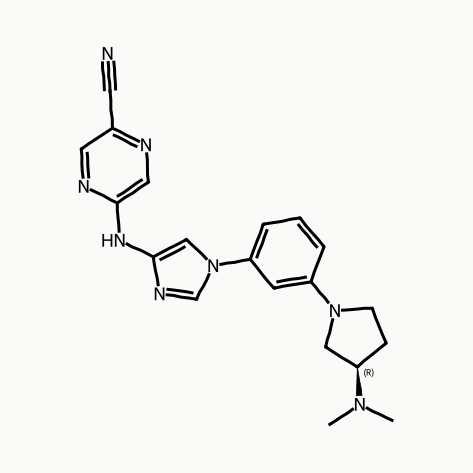 CN(C)[C@@H]1CCN(c2cccc(-n3cnc(Nc4cnc(C#N)cn4)c3)c2)C1